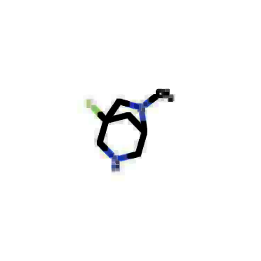 CN1CC2(F)CNCC1C2